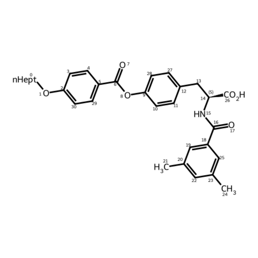 CCCCCCCOc1ccc(C(=O)Oc2ccc(C[C@H](NC(=O)c3cc(C)cc(C)c3)C(=O)O)cc2)cc1